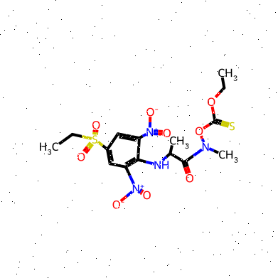 CCOC(=S)ON(C)C(=O)C(C)Nc1c([N+](=O)[O-])cc(S(=O)(=O)CC)cc1[N+](=O)[O-]